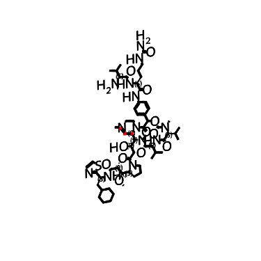 CC[C@H](C)[C@@H]([C@H](O)CC(=O)N1CCC[C@H]1[C@H](OC)[C@@H](C)C(=O)N[C@@H](CC1CCCCC1)c1nccs1)N(C)C(=O)[C@@H](NC(=O)[C@H](C(C)C)N(C)C(=O)OC(C(=O)N1CCN(C)CC1)c1ccc(NC(=O)[C@H](CCCNC(N)=O)NC(=O)[C@@H](N)C(C)C)cc1)C(C)C